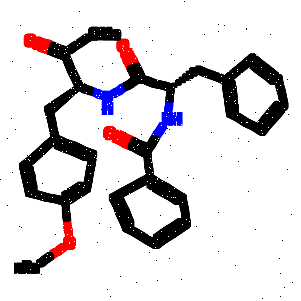 CCCCOc1ccc(C[C@H](NC(=O)[C@H](Cc2ccccc2)NC(=O)c2ccccc2)C(=O)OC)cc1